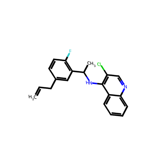 C=CCc1ccc(F)c(C(C)Nc2c(Cl)cnc3ccccc23)c1